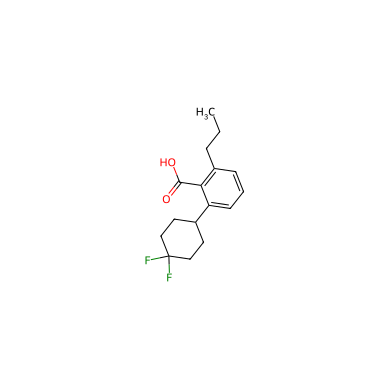 CCCc1cccc(C2CCC(F)(F)CC2)c1C(=O)O